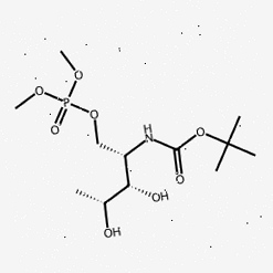 COP(=O)(OC)OC[C@H](NC(=O)OC(C)(C)C)[C@H](O)[C@@H](C)O